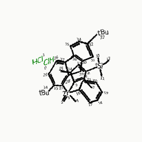 Cl.Cl.[CH2]=[Zr]([CH3])([C]1=C(C)C([Si](C)(C)C)=CC1C)([c]1ccccc1)[c]1c(C(C)(C)C)ccc2c1Cc1cc(C(C)(C)C)ccc1-2